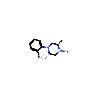 CCN1C[C@H](C)N(c2ccccc2N=O)C[C@H]1C